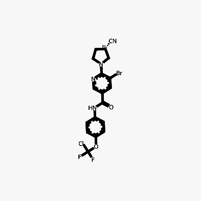 N#C[C@H]1CCN(c2ncc(C(=O)Nc3ccc(OC(F)(F)Cl)cc3)cc2Br)C1